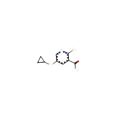 O=C(O)c1cc(OC2CC2)cnc1Br